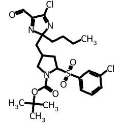 CCCCC1(CC2CC(S(=O)(=O)c3cccc(Cl)c3)N(C(=O)OC(C)(C)C)C2)N=C(Cl)C(C=O)=N1